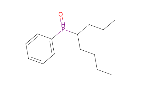 CCCCC(CCC)[PH](=O)c1ccccc1